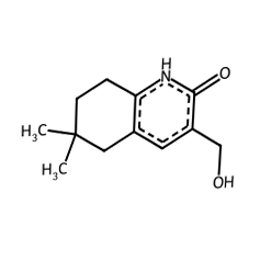 CC1(C)CCc2[nH]c(=O)c(CO)cc2C1